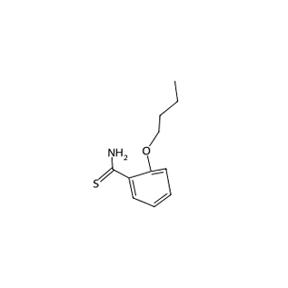 CCCCOc1ccccc1C(N)=S